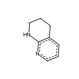 [C]1CCc2cccnc2N1